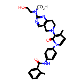 Cc1ccccc1C(=O)Nc1ccc(-n2ccc(C)c(N3CCc4nc(N(CCO)C(=O)O)ncc4C3)c2=O)cc1